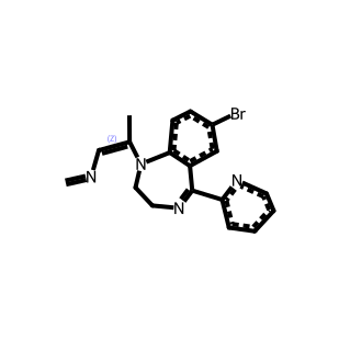 C=N/C=C(/C)N1CCN=C(c2ccccn2)c2cc(Br)ccc21